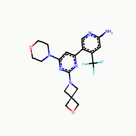 Nc1cc(C(F)(F)F)c(-c2cc(N3CCOCC3)nc(N3CC4(COC4)C3)n2)cn1